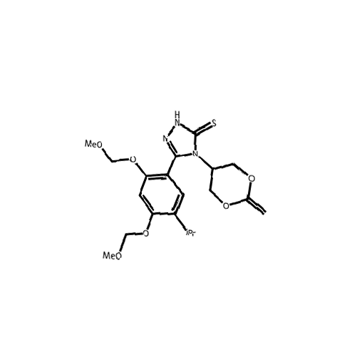 C=C1OCC(n2c(-c3cc(C(C)C)c(OCOC)cc3OCOC)n[nH]c2=S)CO1